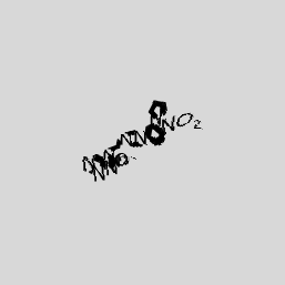 O=[N+]([O-])c1ccc(N2CCN(CCCn3c4cncnc4n[n+]3[O-])CC2)cc1N1CCCC1